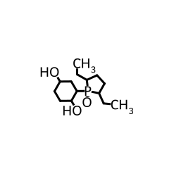 CCC1CCC(CC)P1(=O)C1CC(O)CCC1O